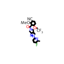 COc1c(C#N)ccc(OCC(F)(F)F)c1C(=O)N1Cc2cn(-c3ccc(F)c(C)n3)nc2C1